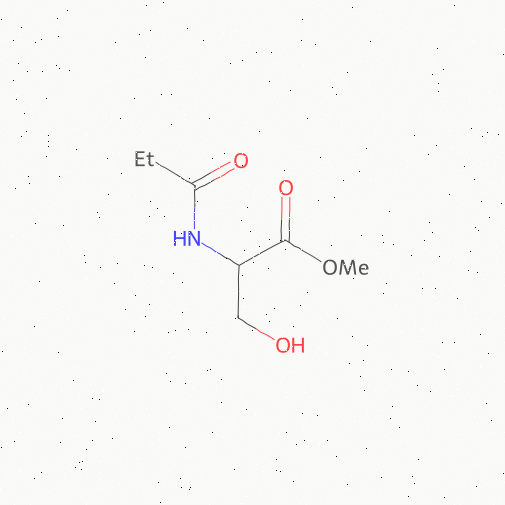 CCC(=O)NC(CO)C(=O)OC